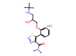 CN(C)C(=O)c1nnsc1-c1ccccc1OCC(O)CNC(C)(C)C.Cl